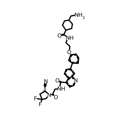 N#C[C@@H]1CC(F)(F)CN1C(=O)CNC(=O)c1ccnc2cc(-c3cccc(OCCNC(=O)C4CCC(CN)CC4)c3)ccc12